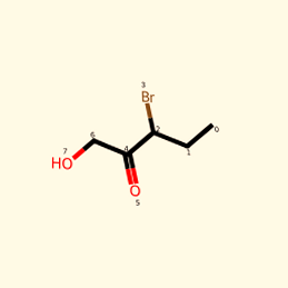 CCC(Br)C(=O)CO